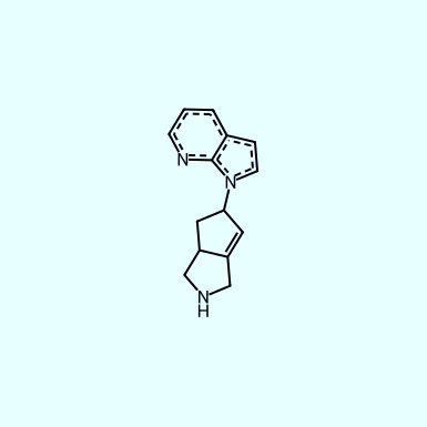 C1=C2CNCC2CC1n1ccc2cccnc21